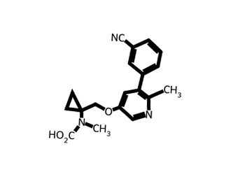 Cc1ncc(OCC2(N(C)C(=O)O)CC2)cc1-c1cccc(C#N)c1